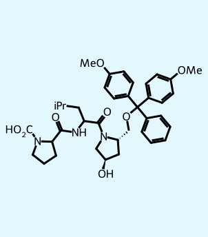 COc1ccc(C(OC[C@@H]2C[C@@H](O)CN2C(=O)C(CC(C)C)NC(=O)C2CCCN2C(=O)O)(c2ccccc2)c2ccc(OC)cc2)cc1